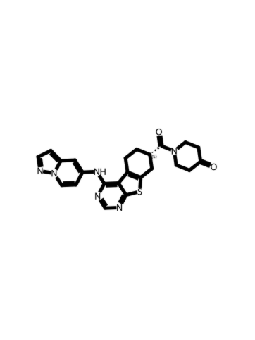 O=C1CCN(C(=O)[C@H]2CCc3c(sc4ncnc(Nc5ccn6nccc6c5)c34)C2)CC1